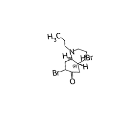 Br.CCCN1CCC[C@@H]2CC(=O)C(Br)C[C@H]21